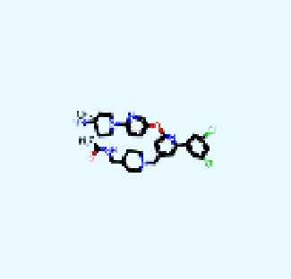 CNC1CCN(c2ccc(Oc3cc(CN4CCC(CNC(C)=O)CC4)cc(-c4cc(Cl)cc(Cl)c4)n3)cn2)CC1